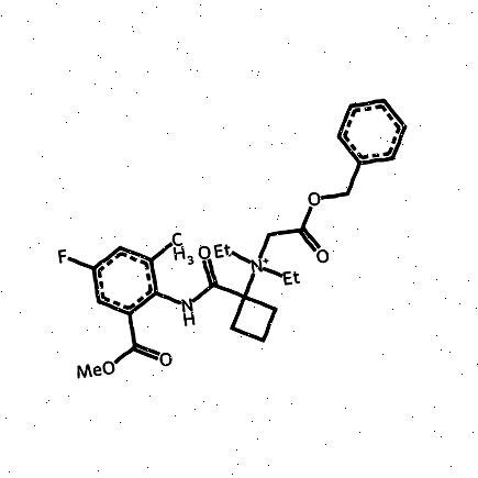 CC[N+](CC)(CC(=O)OCc1ccccc1)C1(C(=O)Nc2c(C)cc(F)cc2C(=O)OC)CCC1